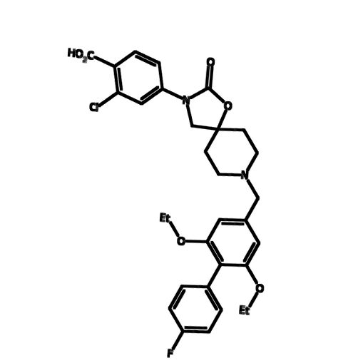 CCOc1cc(CN2CCC3(CC2)CN(c2ccc(C(=O)O)c(Cl)c2)C(=O)O3)cc(OCC)c1-c1ccc(F)cc1